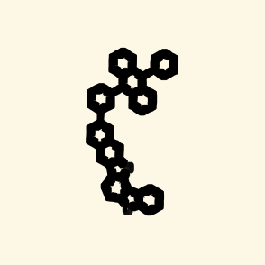 c1ccc(-c2c3ccccc3c(-c3cccc(-c4ccc5cc6c(cc5c4)oc4c6ccc5oc6ccccc6c54)c3)c3ccccc23)cc1